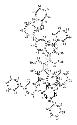 c1ccc(-c2ccc(-c3nc(-c4ccccc4)nc(-c4ccccc4)n3)c(-n3c4ccccc4c4c(-c5cccc6c5c5ccc(-c7cccc8c7oc7ccccc78)cc5n6-c5ccccc5)cccc43)c2)cc1